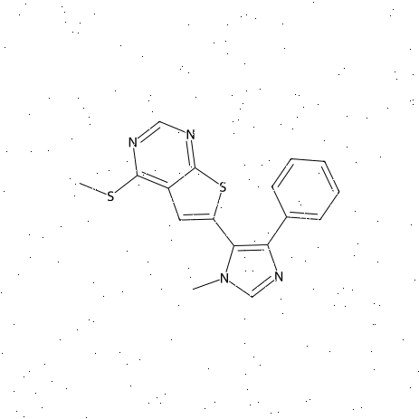 CSc1ncnc2sc(-c3c(-c4ccccc4)ncn3C)cc12